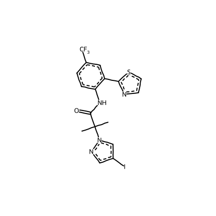 CC(C)(C(=O)Nc1ccc(C(F)(F)F)cc1-c1nccs1)n1cc(I)cn1